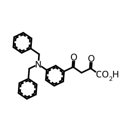 O=C(O)C(=O)CC(=O)c1cccc(N(Cc2ccccc2)Cc2ccccc2)c1